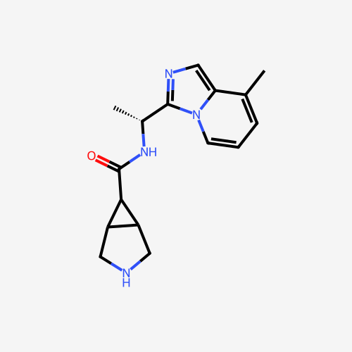 Cc1cccn2c([C@@H](C)NC(=O)C3C4CNCC43)ncc12